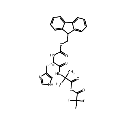 CC(C)(NC(=O)[C@H](Cc1c[nH]cn1)NC(=O)OCC1c2ccccc2-c2ccccc21)C(=O)OC(=O)C(F)(F)F